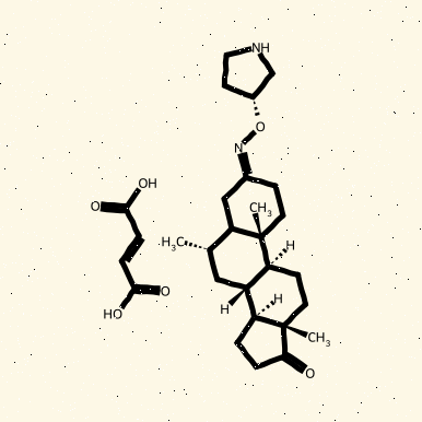 C[C@H]1C[C@@H]2[C@H](CC[C@]3(C)C(=O)CC[C@@H]23)[C@@]2(C)CCC(=NO[C@@H]3CCNC3)CC12.O=C(O)/C=C/C(=O)O